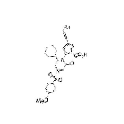 COc1ccc(S(=O)(=O)N2CC(=O)N(c3cc(C#CC(C)(C)C)sc3C(=O)O)C(C3CCCCC3)C2)cc1